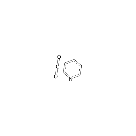 O=C=O.c1ccncc1